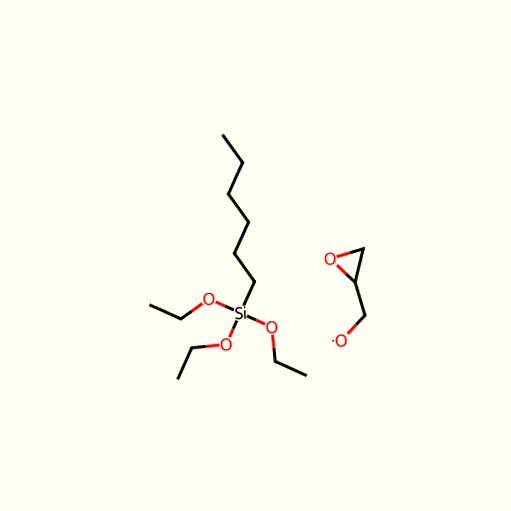 CCCCCC[Si](OCC)(OCC)OCC.[O]CC1CO1